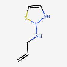 C=CCNN1NC=CS1